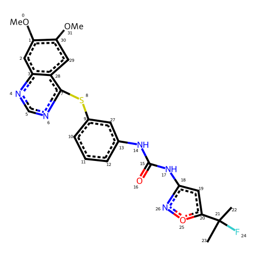 COc1cc2ncnc(Sc3cccc(NC(=O)Nc4cc(C(C)(C)F)on4)c3)c2cc1OC